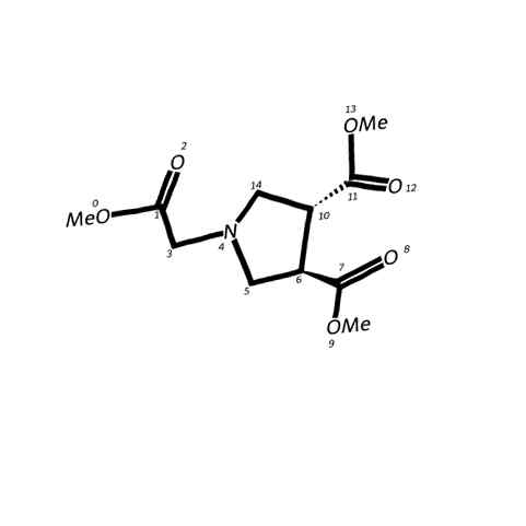 COC(=O)CN1C[C@H](C(=O)OC)[C@@H](C(=O)OC)C1